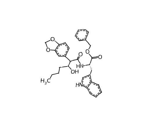 CCCCC(O)C(C(=O)N[C@@H](Cc1c[nH]c2ccccc12)C(=O)OCc1ccccc1)c1ccc2c(c1)OCO2